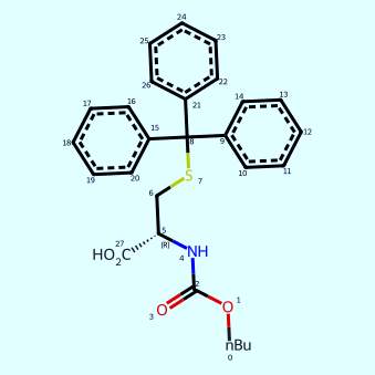 CCCCOC(=O)N[C@@H](CSC(c1ccccc1)(c1ccccc1)c1ccccc1)C(=O)O